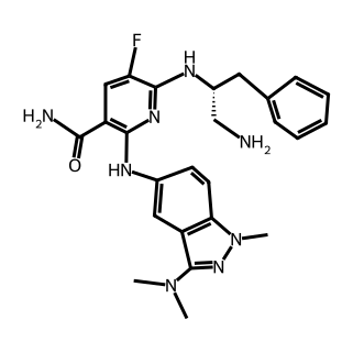 CN(C)c1nn(C)c2ccc(Nc3nc(N[C@@H](CN)Cc4ccccc4)c(F)cc3C(N)=O)cc12